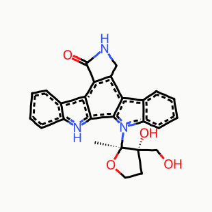 C[C@@]1(n2c3ccccc3c3c4c(c5c6ccccc6[nH]c5c32)C(=O)NC4)OCC[C@]1(O)CO